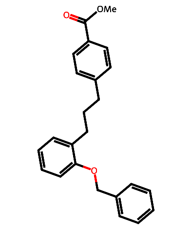 COC(=O)c1ccc(CCCc2ccccc2OCc2ccccc2)cc1